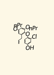 C=CCc1cc(OCCC)cc(OCCC)c1Oc1ccc(O)cc1Cl